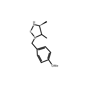 COc1ccc(CN2SN[C@@H](C)C2C)cc1